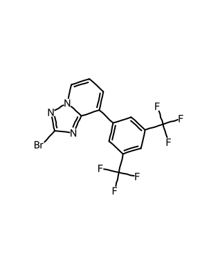 FC(F)(F)c1cc(-c2cccn3nc(Br)nc23)cc(C(F)(F)F)c1